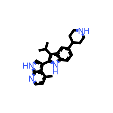 Cc1ccnc2[nH]cc(-c3[nH]c4ccc(C5CCNCC5)cc4c3C(C)C)c12